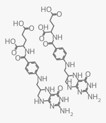 Nc1nc2c(c(=O)[nH]1)NC(CNc1ccc(C(=O)NC(CCC(=O)O)C(=O)O)cc1)CN2.Nc1nc2c(c(=O)[nH]1)NC(CNc1ccc(C(=O)NC(CCC(=O)O)C(=O)O)cc1)CN2